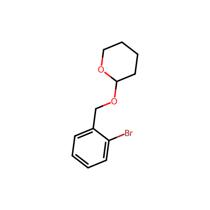 Brc1ccccc1COC1CCCCO1